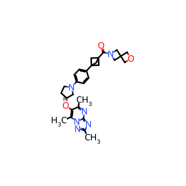 Cc1nc2nc(C)c(O[C@@H]3CCN(c4ccc(C56CC(C(=O)N7CC8(COC8)C7)(C5)C6)cc4)C3)c(C)n2n1